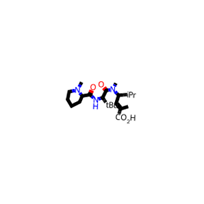 CC(=CC(C(C)C)N(C)C(=O)C(NC(=O)C1CCCCN1C)C(C)(C)C)C(=O)O